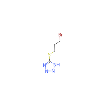 BrCCCSc1nnn[nH]1